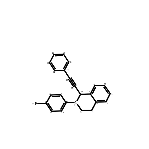 Fc1ccc(N2CCc3ccccc3C2C#Cc2ccccc2)cc1